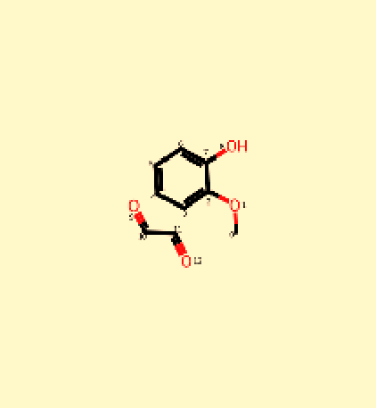 COc1ccccc1O.O=CC=O